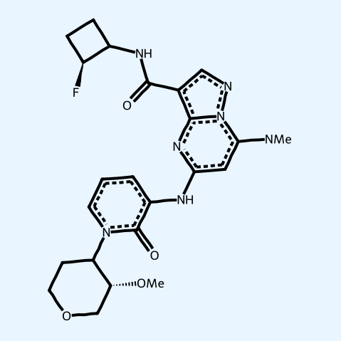 CNc1cc(Nc2cccn(C3CCOC[C@H]3OC)c2=O)nc2c(C(=O)NC3CC[C@@H]3F)cnn12